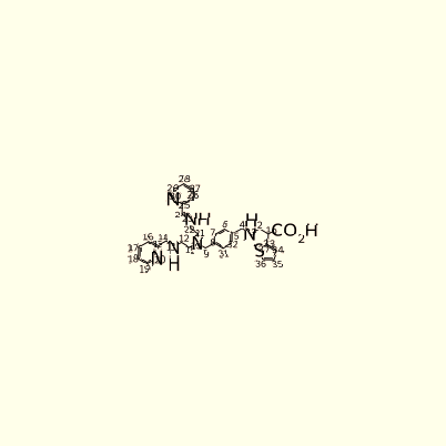 O=C(O)C(CNCc1ccc(CN(CCNCc2ccccn2)CCNCc2ccccn2)cc1)c1cccs1